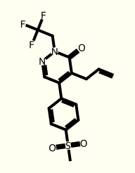 C=CCc1c(-c2ccc(S(C)(=O)=O)cc2)cnn(CC(F)(F)F)c1=O